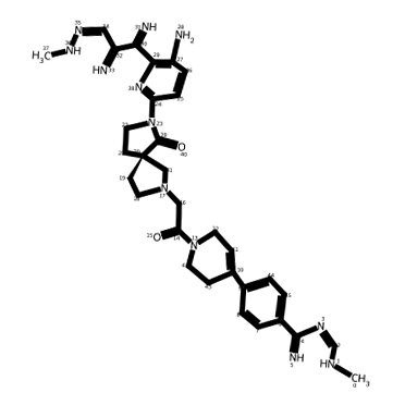 CN/C=N\C(=N)c1ccc(C2=CCN(C(=O)CN3CC[C@]4(CCN(c5ccc(N)c(C(=N)C(=N)/C=N\NC)n5)C4=O)C3)CC2)cc1